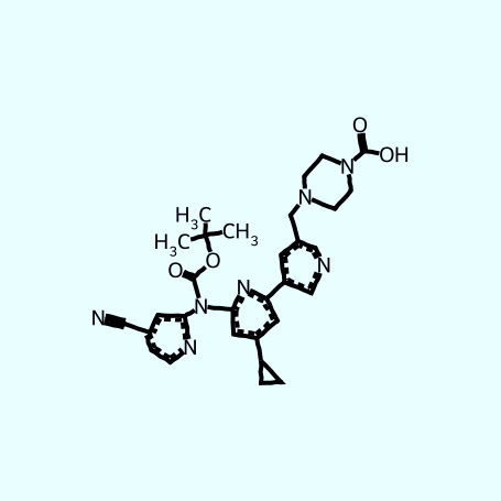 CC(C)(C)OC(=O)N(c1cc(C#N)ccn1)c1cc(C2CC2)cc(-c2cncc(CN3CCN(C(=O)O)CC3)c2)n1